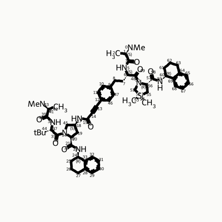 CN[C@@H](C)C(=O)N[C@@H](CCc1ccc(C#CC(=O)N[C@H]2C[C@@H](C(=O)N[C@@H]3CCCc4ccccc43)N(C(=O)[C@@H](NC(=O)[C@H](C)NC)C(C)(C)C)C2)cc1)C(=O)N1C[Si](C)(C)C[C@H]1C(=O)N[C@@H]1CCCc2ccccc21